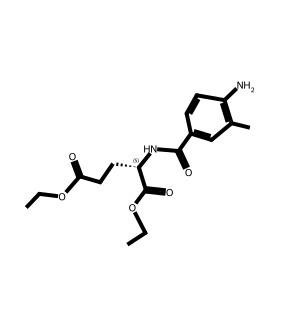 CCOC(=O)CC[C@H](NC(=O)c1ccc(N)c(C)c1)C(=O)OCC